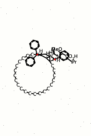 COc1ccc(C(C)C)cc1CN[C@H]1[C@H]2CCCCCCCCCCCCCCCCCCCCCN(C[C@@H]2C(=O)NCC(=O)O)[C@H]1C(c1ccccc1)c1ccccc1